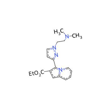 CCOC(=O)c1cc2ccccn2c1-c1ccn(CCN(C)C)n1